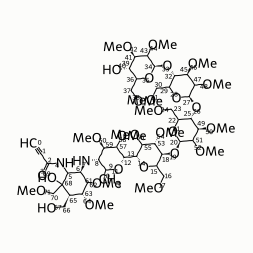 C#CC(=O)NC1[C@@H](N[C@H]2C(C)O[C@@H]([C@H]3OC(COC)[C@H](O[C@H]4OC(COC)[C@H](O[C@H]5OC(COC)[C@H](O[C@H]6OC(COC)[C@H](O)[C@@H](OC)C6OC)[C@@H](OC)C5OC)[C@@H](OC)C4OC)[C@@H](OC)C3OC)C(OC)[C@@H]2OC)C(OC)[C@H](OC)[C@@H](CO)C1(O)COC